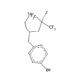 OCC(Cc1ccc(Br)cc1)CC(F)(C(F)(F)F)C(F)(F)F